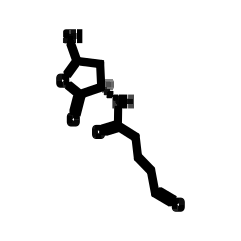 O=CCCCC(=O)N[C@H]1CC(S)OC1=O